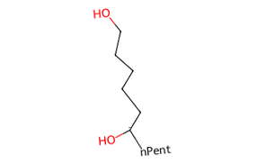 CCCCC[C](O)CCCCCO